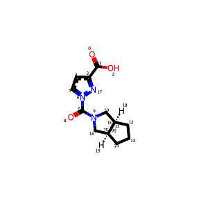 O=C(O)c1ccn(C(=O)N2C[C@H]3CCC[C@H]3C2)n1